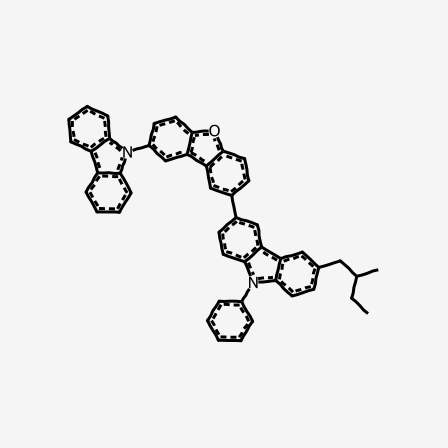 CCC(C)Cc1ccc2c(c1)c1cc(-c3ccc4oc5ccc(-n6c7ccccc7c7ccccc76)cc5c4c3)ccc1n2-c1ccccc1